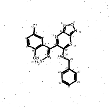 NN=C(c1cc(Cl)ccc1O)c1nc2nonc2nc1NCc1ccccc1